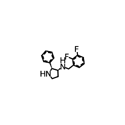 Fc1cccc(CN[C@H]2CCN[C@H]2c2ccccc2)c1F